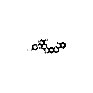 O=C1Nc2c(N3CCC(O)CC3)ncc(Cl)c2CN1c1cc2c(cc1Cl)CCC(c1ncccc1F)O2